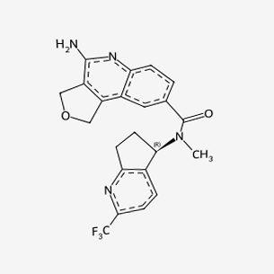 CN(C(=O)c1ccc2nc(N)c3c(c2c1)COC3)[C@@H]1CCc2nc(C(F)(F)F)ccc21